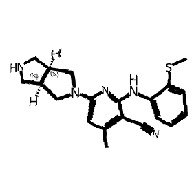 CSc1ccccc1Nc1nc(N2C[C@H]3CNC[C@H]3C2)cc(C)c1C#N